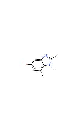 Cc1cc(Br)cc2nc(C)n(C)c12